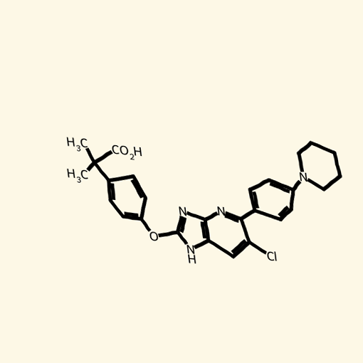 CC(C)(C(=O)O)c1ccc(Oc2nc3nc(-c4ccc(N5CCCCC5)cc4)c(Cl)cc3[nH]2)cc1